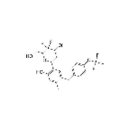 Cc1cc(O)c(C2CC(O)C(F)(F)C(CO)O2)cc1Cc1ccc(OC(F)(F)F)cc1